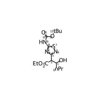 CCCC(O)C(C(=O)OCC)c1nsc(NC(=O)OC(C)(C)C)n1